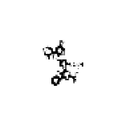 C[C@H]1COCC[C@]1(F)c1cc(Br)cnc1O[C@H]1C[C@@H](C(=O)O)N(c2nc(C(F)F)nc3c2oc2ccccc23)C1